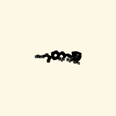 CCCCCOC(=O)c1ccc(/C=C(\C)C=CC23CC2(C)CCCC3(C)C)cc1